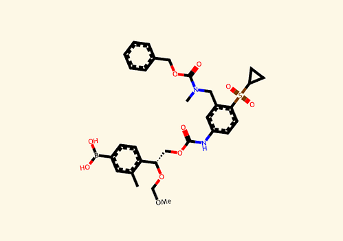 COCO[C@@H](COC(=O)Nc1ccc(S(=O)(=O)C2CC2)c(CN(C)C(=O)OCc2ccccc2)c1)c1ccc(B(O)O)cc1C